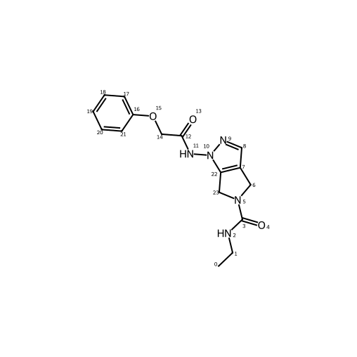 CCNC(=O)N1Cc2cnn(NC(=O)COc3ccccc3)c2C1